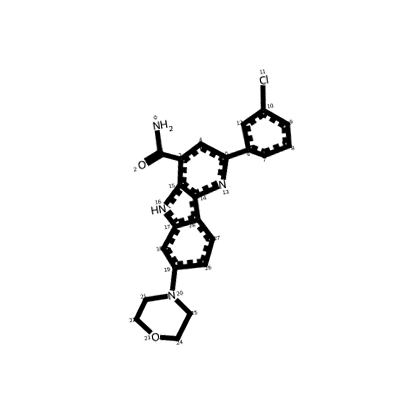 NC(=O)c1cc(-c2cccc(Cl)c2)nc2c1[nH]c1cc(N3CCOCC3)ccc12